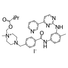 Cc1ccc(NC(=O)c2ccc(CN3CC[N+](C)(COC(=O)C(C)C)CC3)cc2)cc1Nc1nccc(-c2cccnc2)n1.[I-]